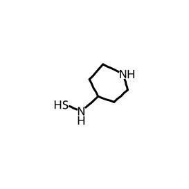 SNC1CCNCC1